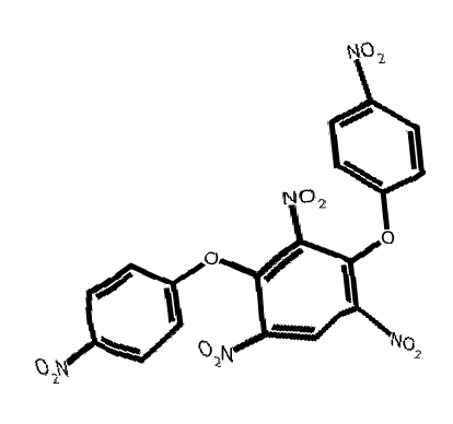 O=[N+]([O-])c1ccc(Oc2c([N+](=O)[O-])cc([N+](=O)[O-])c(Oc3ccc([N+](=O)[O-])cc3)c2[N+](=O)[O-])cc1